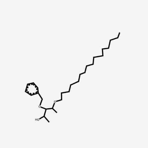 CCCCCCCCCCCCCCCCOC(C)C(OCc1ccccc1)C(C)O